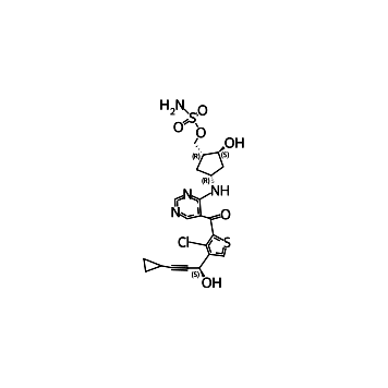 NS(=O)(=O)OC[C@H]1C[C@@H](Nc2ncncc2C(=O)c2scc([C@@H](O)C#CC3CC3)c2Cl)C[C@@H]1O